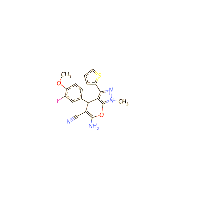 COc1ccc(C2C(C#N)=C(N)Oc3c2c(-c2cccs2)nn3C)cc1I